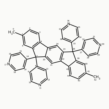 Cc1ccc2c(c1)C(c1ccncc1)(c1ccncc1)c1cc3c(cc1-2)C(c1ccncc1)(c1ccncc1)c1cc(C)ccc1-3